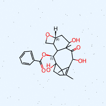 CC1=C2C(O)C(=O)C3(C)C(O)C[C@H]4OCC4C3[C@H](OC(=O)c3ccccc3)C(O)(CC1)C2(C)C